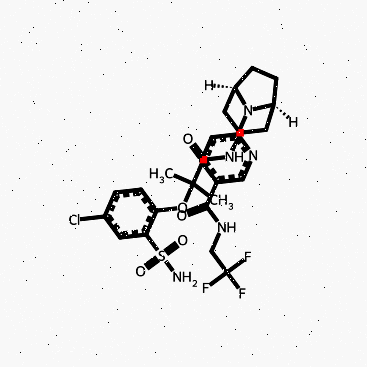 CC(C)(Oc1ccc(Cl)cc1S(N)(=O)=O)C(=O)N[C@H]1C[C@H]2CC[C@@H](C1)N2c1ccc(C(=O)NCC(F)(F)F)cn1